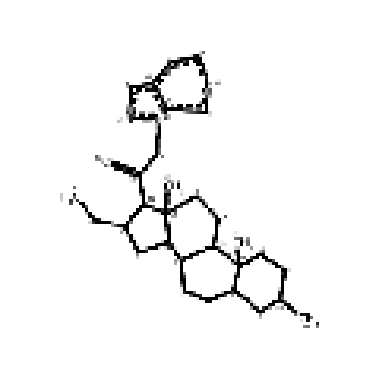 CC[C@@H]1CC2C3CCC4CC(C)CCC4(C)C3CCC2(C)C1C(=O)Cn1ncc2ccncc21